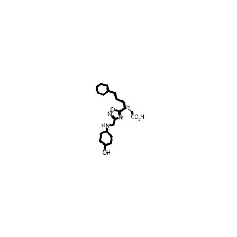 O=C(O)C[C@@H](CCCC1CCCCC1)c1nc(CNC2CCC(O)CC2)no1